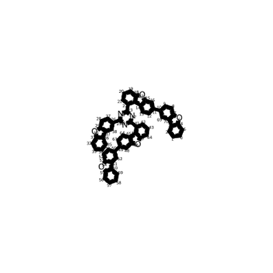 c1ccc2c(c1)oc1ccc(-c3ccc4c(c3)oc3cccc(-c5nc(-c6ccc7oc8ccccc8c7c6)nc(-c6cccc7oc8cc(-c9ccc%10oc%11ccccc%11c%10c9)ccc8c67)n5)c34)cc12